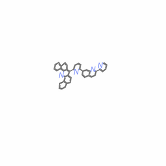 c1ccc(-c2ccc3ccc(-c4cccc(-c5c6ccc7ccccc7c6nc6c5ccc5ccccc56)n4)cc3n2)nc1